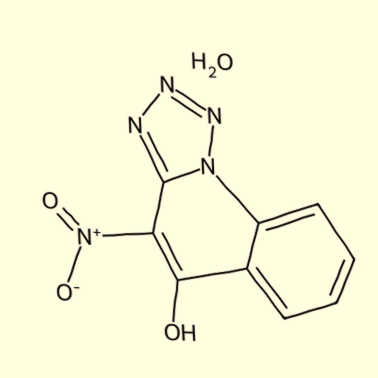 O.O=[N+]([O-])c1c(O)c2ccccc2n2nnnc12